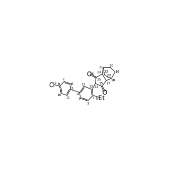 CCc1ccc(-c2ccc(Cl)cc2)cc1C1C(=O)C2C3CCC(CC3)C2C1=O